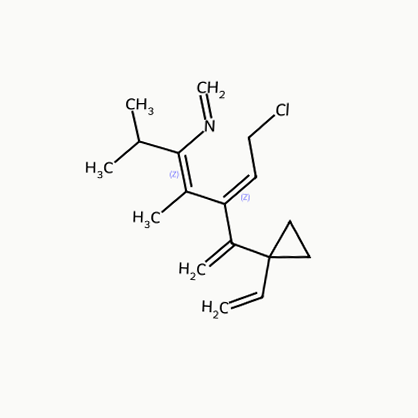 C=CC1(C(=C)C(=C/CCl)/C(C)=C(\N=C)C(C)C)CC1